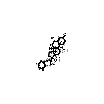 C[C@]12C=CC(=O)C=C1[C@@H](F)C[C@@H]1[C@@H]2[C@@H](O)C[C@@]2(C)[C@H]1CC[C@]2(O)[C@]1(Oc2ccccc2)CO1